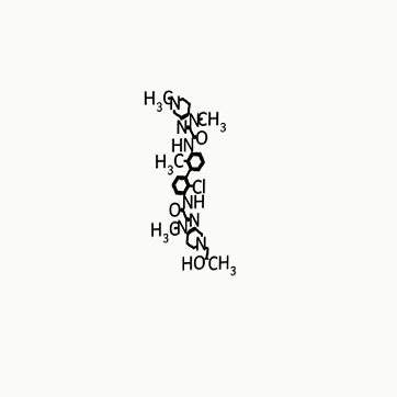 Cc1c(NC(=O)c2nc3c(n2C)CCN(C)C3)cccc1-c1cccc(NC(=O)c2nc3c(n2C)CCN(C[C@H](C)O)C3)c1Cl